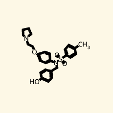 Cc1ccc(S(=O)(=O)N(Cc2ccc(O)cc2)c2ccc(OCCN3CCCC3)cc2)cc1